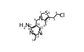 CC1=C(CCCl)SCN1Cc1cnc(C)nc1N